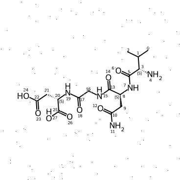 CC(C)[C@H](N)C(=O)N[C@@H](CC(N)=O)C(=O)NCC(=O)N[C@@H](CC(=O)O)C(=O)O